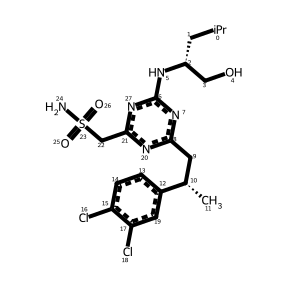 CC(C)C[C@H](CO)Nc1nc(C[C@H](C)c2ccc(Cl)c(Cl)c2)nc(CS(N)(=O)=O)n1